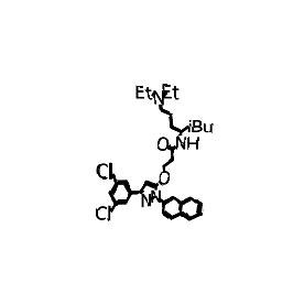 CCC(C)C(CCCN(CC)CC)NC(=O)CCOc1cc(-c2cc(Cl)cc(Cl)c2)nn1-c1ccc2ccccc2c1